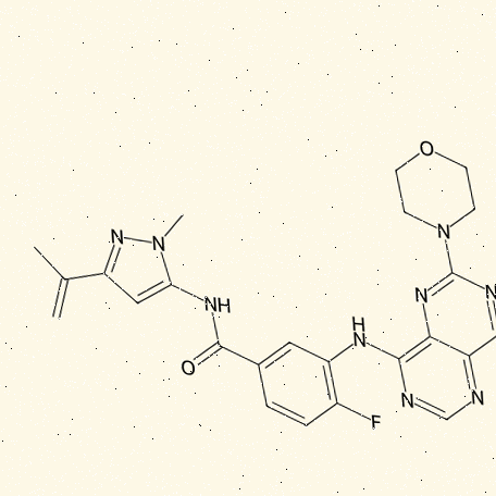 C=C(C)c1cc(NC(=O)c2ccc(F)c(Nc3ncnc4cnc(N5CCOCC5)nc34)c2)n(C)n1